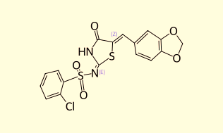 O=C1N/C(=N\S(=O)(=O)c2ccccc2Cl)S/C1=C\c1ccc2c(c1)OCO2